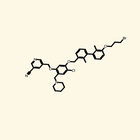 Cc1c(COc2cc(OCc3cncc(C#N)c3)c(CN3CCCCC3)cc2Cl)cccc1-c1cccc(OCCCBr)c1C